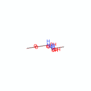 CCCCCCCCCCCC(=O)OCCCCCCCCCCCCCC(=O)NC(CCO)C(=O)NCCCC(CO)NC(=O)C[C@H](O)CCCCCCCCCCC